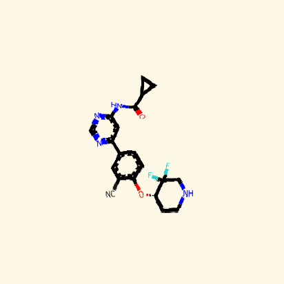 N#Cc1cc(-c2cc(NC(=O)C3CC3)ncn2)ccc1O[C@H]1CCNCC1(F)F